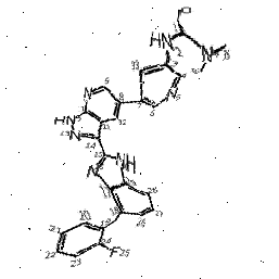 CC(Nc1cncc(-c2cnc3[nH]nc(-c4nc5c(-c6ccccc6F)cccc5[nH]4)c3c2)c1)N(C)C